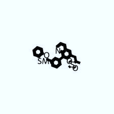 CSc1ccccc1OCc1cccc(-c2cc(CC(C)S(C)(=O)=O)cc3cccnc23)c1